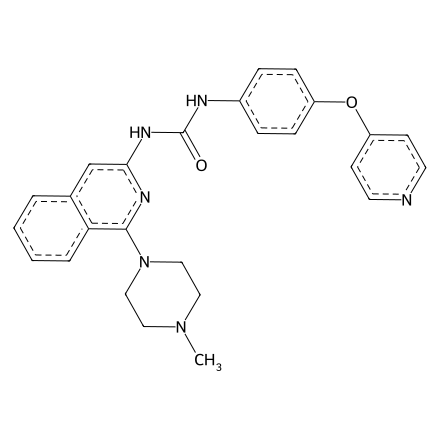 CN1CCN(c2nc(NC(=O)Nc3ccc(Oc4ccncc4)cc3)cc3ccccc23)CC1